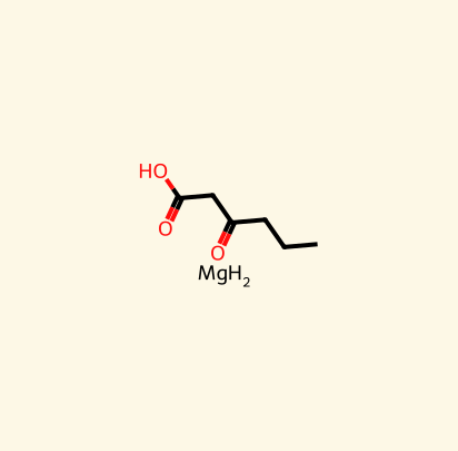 CCCC(=O)CC(=O)O.[MgH2]